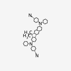 CC1(C)c2cc(N(c3ccccc3)c3ccc(C#N)cc3)ccc2-c2cc3ccc(N(c4ccccc4)c4ccc(C#N)cc4)cc3cc21